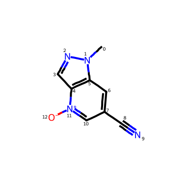 Cn1ncc2c1cc(C#N)c[n+]2[O-]